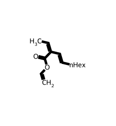 C=COC(=O)C(C=CCCCCCC)=CC